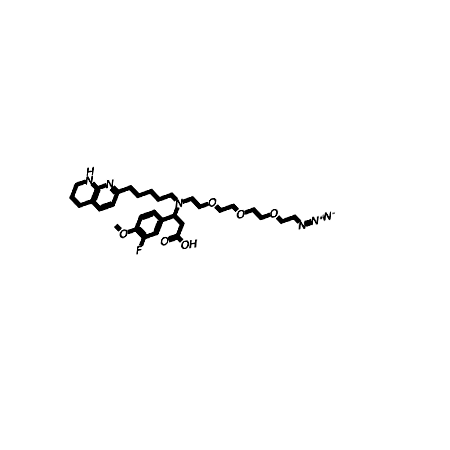 COc1ccc(C(CC(=O)O)N(CCCCCc2ccc3c(n2)NCCC3)CCOCCOCCOCCN=[N+]=[N-])cc1F